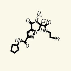 CC(C)CCNC(=O)C1(C)Cn2nc(C(=O)NC3CCCC3)cc2C(=O)N1C